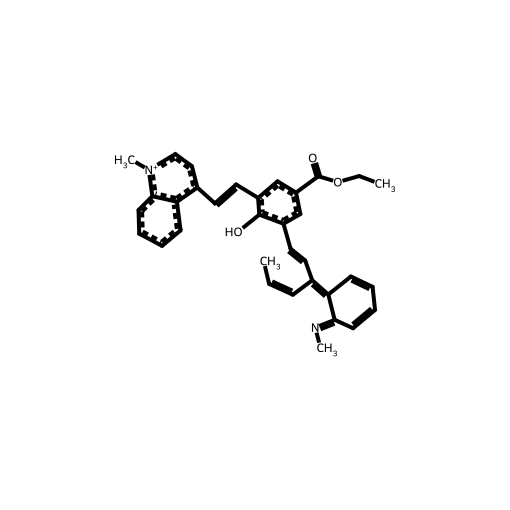 C\C=C/C(/C=C/c1cc(C(=O)OCC)cc(/C=C/c2cc[n+](C)c3ccccc23)c1O)=C1/C=CC=C/C1=N\C